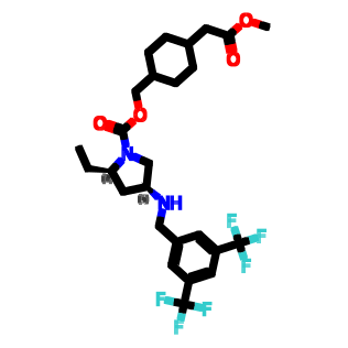 CC[C@@H]1C[C@H](NCc2cc(C(F)(F)F)cc(C(F)(F)F)c2)CN1C(=O)OCC1CCC(CC(=O)OC)CC1